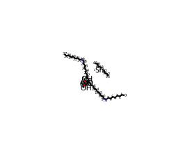 CCCCCCCC/C=C\CCCCCCCCOC(CCCCCCCC/C=C\CCCCCCCC)(CC(=O)O)C(=O)O.CCC[CH2][Sn][CH2]CCC